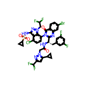 O=C(Cn1nc(C(F)F)cc1C1CC1)N[C@@H](Cc1cc(F)cc(F)c1)c1nc2cc(Br)ccc2c(=O)n1-c1ccc(Cl)c2c(NS(=O)(=O)C3CC3)nn(CC(F)F)c12